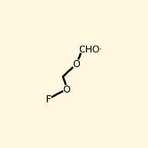 O=[C]OCOF